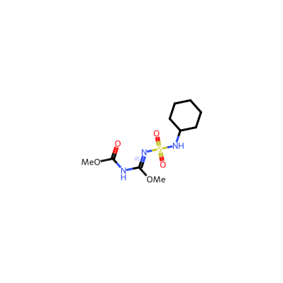 COC(=O)N/C(=N/S(=O)(=O)NC1CCCCC1)OC